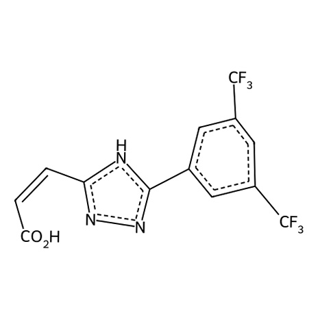 O=C(O)/C=C\c1nnc(-c2cc(C(F)(F)F)cc(C(F)(F)F)c2)[nH]1